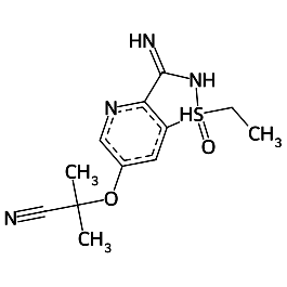 CC[SH]1(=O)NC(=N)c2ncc(OC(C)(C)C#N)cc21